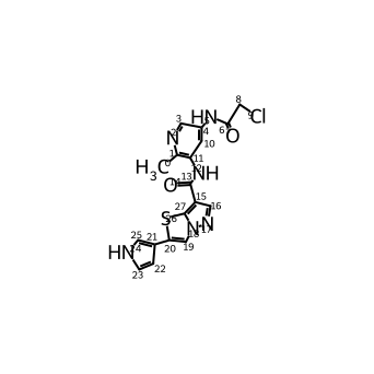 Cc1ncc(NC(=O)CCl)cc1NC(=O)c1cnn2cc(-c3cc[nH]c3)sc12